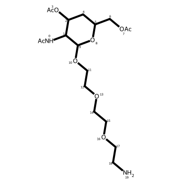 CC(=O)NC1C(OC(C)=O)CC(COC(C)=O)OC1OCCOCCOCCN